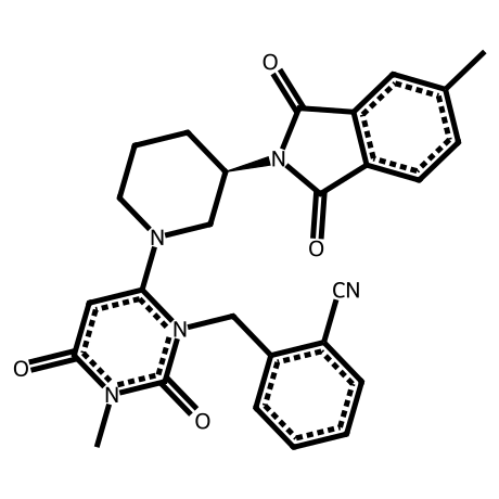 Cc1ccc2c(c1)C(=O)N([C@@H]1CCCN(c3cc(=O)n(C)c(=O)n3Cc3ccccc3C#N)C1)C2=O